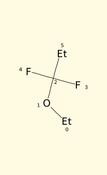 CCOC(F)(F)CC